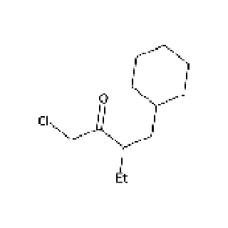 CCC(CC1CCCCC1)C(=O)CCl